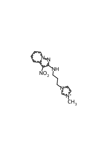 C[n+]1ccn(CCCNc2nn3ccccc3c2[N+](=O)[O-])c1